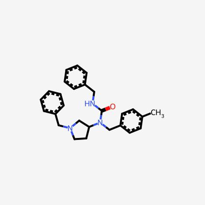 Cc1ccc(CN(C(=O)NCc2ccccc2)C2CCN(Cc3ccccc3)C2)cc1